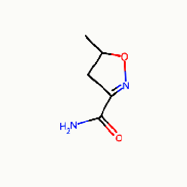 CC1CC(C(N)=O)=NO1